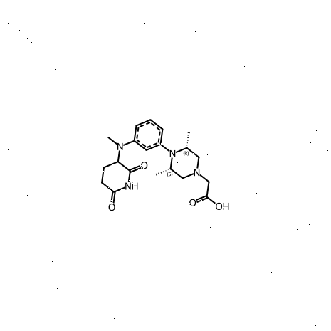 C[C@@H]1CN(CC(=O)O)C[C@H](C)N1c1cccc(N(C)C2CCC(=O)NC2=O)c1